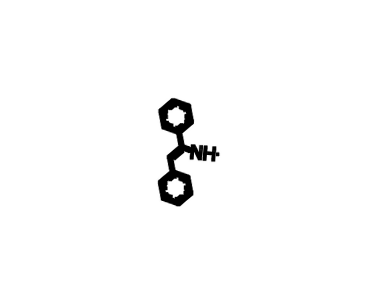 [NH]C(=Cc1ccccc1)c1ccccc1